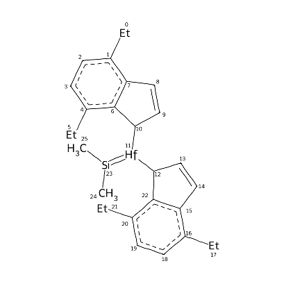 CCc1ccc(CC)c2c1C=C[CH]2[Hf]([CH]1C=Cc2c(CC)ccc(CC)c21)=[Si](C)C